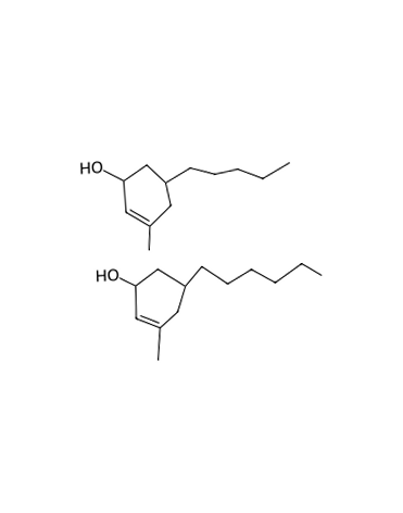 CCCCCC1CC(C)=CC(O)C1.CCCCCCC1CC(C)=CC(O)C1